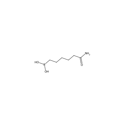 NC(=O)CCCCCB(O)O